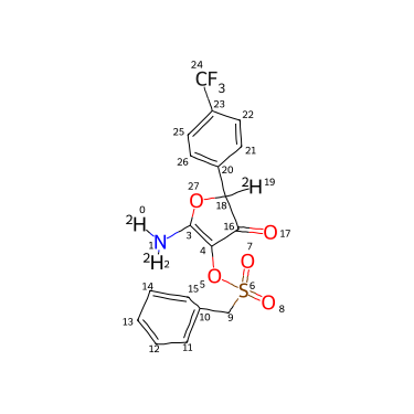 [2H]N([2H])C1=C(OS(=O)(=O)Cc2ccccc2)C(=O)C([2H])(c2ccc(C(F)(F)F)cc2)O1